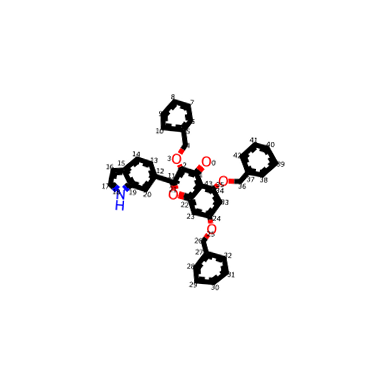 O=c1c(OCc2ccccc2)c(-c2ccc3cc[nH]c3c2)oc2cc(OCc3ccccc3)cc(OCc3ccccc3)c12